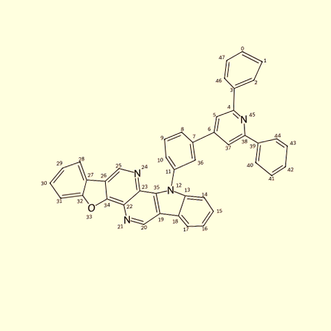 c1ccc(-c2cc(-c3cccc(-n4c5ccccc5c5cnc6c(ncc7c8ccccc8oc76)c54)c3)cc(-c3ccccc3)n2)cc1